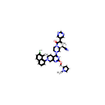 C=C(C(=O)N1CCN(c2nc(OC[C@@H]3CCCN3C)nc3c2CCN(c2cccc4ccc(F)c(C)c24)C3)C[C@@H]1CC#N)c1cncnc1